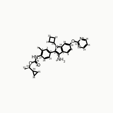 Cc1cc(-c2c(N)c3ccc(Oc4ncccn4)cc3n2C2CCC2)ccc1NC(=O)O[C@H](C)C1CC1